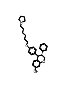 Oc1ccc2c(c1)OC[C@H](c1ccccc1)C2c1ccc(OCCCCCCN2CCCC2)cc1